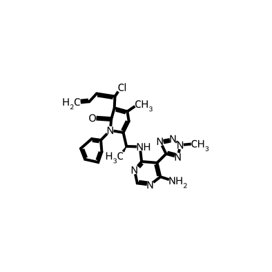 C=C/C=C(/Cl)c1c(C)cc([C@H](C)Nc2ncnc(N)c2-c2nnn(C)n2)n(-c2ccccc2)c1=O